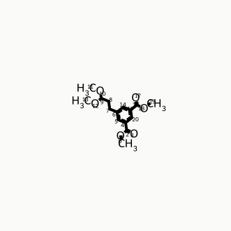 COC(=O)c1cc(CCC(OC)OC)cc(C(=O)OC)c1